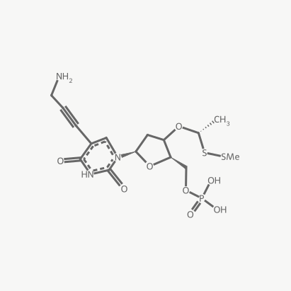 CSS[C@@H](C)OC1C[C@H](n2cc(C#CCN)c(=O)[nH]c2=O)O[C@@H]1COP(=O)(O)O